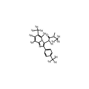 [2H]c1c(C([2H])([2H])[2H])c([2H])n2c(C([2H])C(=O)N(C)C([2H])([2H])[2H])c(-c3ccc(C([2H])([2H])[2H])cc3)nc2c1[2H]